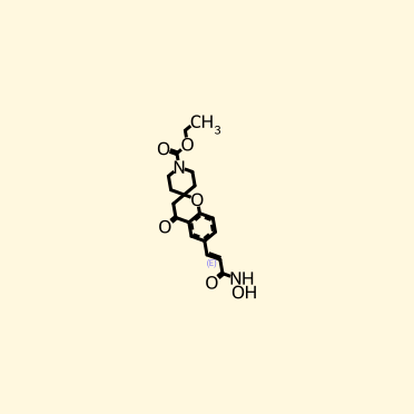 CCOC(=O)N1CCC2(CC1)CC(=O)c1cc(/C=C/C(=O)NO)ccc1O2